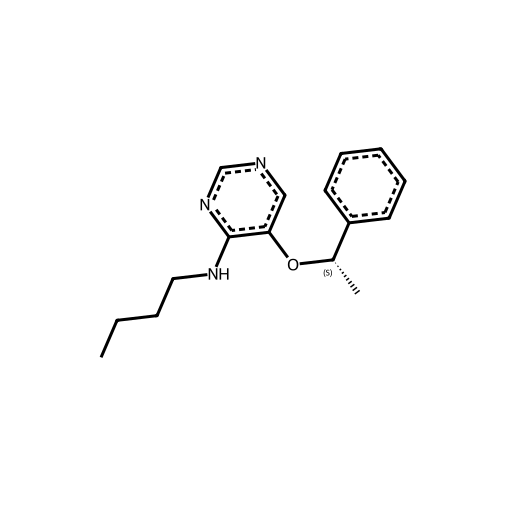 CCCCNc1ncncc1O[C@@H](C)c1ccccc1